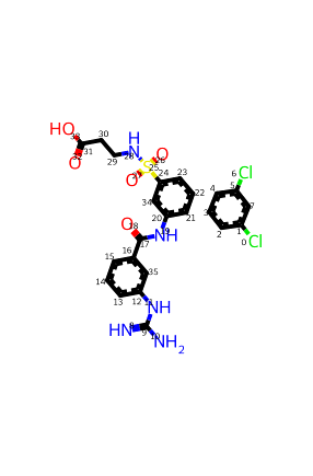 Clc1cccc(Cl)c1.N=C(N)Nc1cccc(C(=O)Nc2cccc(S(=O)(=O)NCCC(=O)O)c2)c1